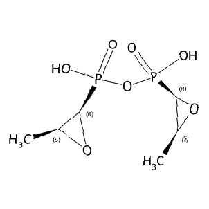 C[C@@H]1O[C@@H]1P(=O)(O)OP(=O)(O)[C@H]1O[C@H]1C